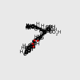 C[C@]12C=CC(=O)C=C1CC[C@@H]1[C@@H]2[C@@H](O)C[C@@]2(C)[C@H]1C[C@H]1O[C@H](C34CC(Cc5cccc(NC(=O)OCc6ccc(O[C@@H]7O[C@H](C(=O)O)[C@@H](O)[C@H](O)[C@H]7O)c(NC(=O)CCNC(=O)Cc7ccc(-c8nncnn8)cc7)c6)c5)(C3)C4)O[C@]12C(=O)CO